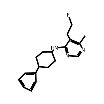 Cc1ncnc(NC2CCC(c3ccccc3)CC2)c1CCF